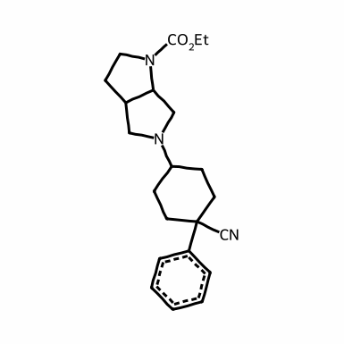 CCOC(=O)N1CCC2CN(C3CCC(C#N)(c4ccccc4)CC3)CC21